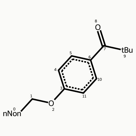 CCCCCCCCCCOc1ccc(C(=O)C(C)(C)C)cc1